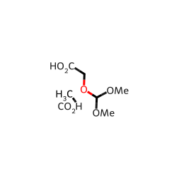 CC(=O)O.COC(OC)OCC(=O)O